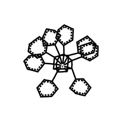 c1ccc([C]23[CH]4[C]5(c6ccccc6)[C]6(c7ccccc7)[C]2(c2ccccc2)[V]43562789[CH]3[C]2(c2ccccc2)[C]7(c2ccccc2)[C]8(c2ccccc2)[C]39c2ccccc2)cc1